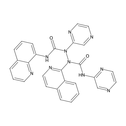 O=C(Nc1cccc2cccnc12)N(c1cnccn1)N(C(=O)Nc1cnccn1)c1nccc2ccccc12